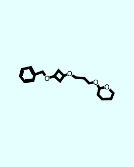 c1ccc(COC2CC(OCCCOC3CCCCO3)C2)cc1